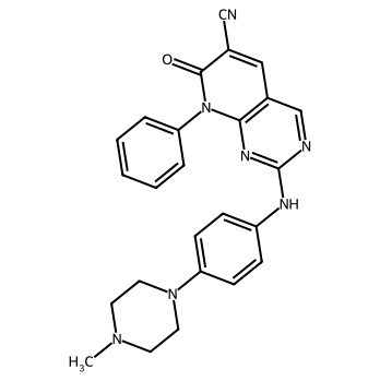 CN1CCN(c2ccc(Nc3ncc4cc(C#N)c(=O)n(-c5ccccc5)c4n3)cc2)CC1